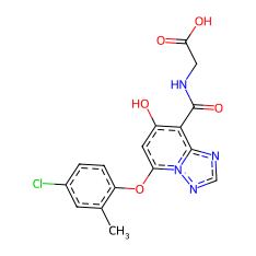 Cc1cc(Cl)ccc1Oc1cc(O)c(C(=O)NCC(=O)O)c2ncnn12